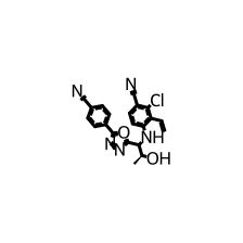 C=Cc1c(NC(c2nnc(-c3ccc(C#N)cc3)o2)[C@H](C)O)ccc(C#N)c1Cl